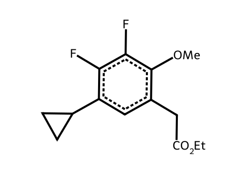 CCOC(=O)Cc1cc(C2CC2)c(F)c(F)c1OC